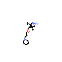 C1CCN(CCCOC[C@H]2[C@@H]3CNC[C@@H]32)CC1